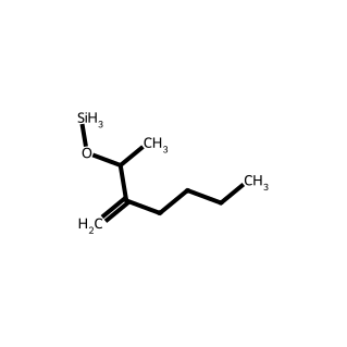 C=C(CCCC)C(C)O[SiH3]